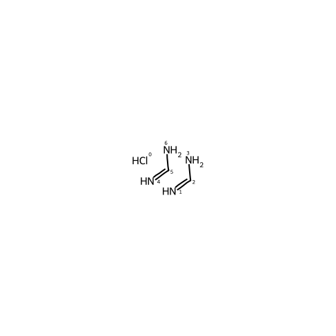 Cl.N=CN.N=CN